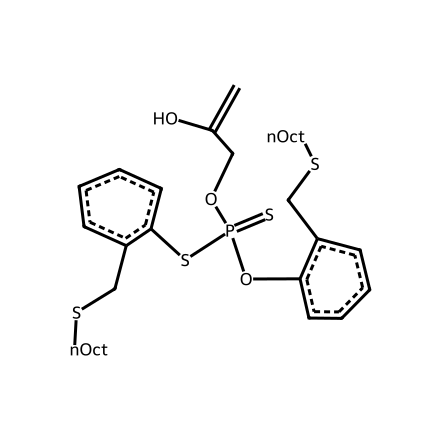 C=C(O)COP(=S)(Oc1ccccc1CSCCCCCCCC)Sc1ccccc1CSCCCCCCCC